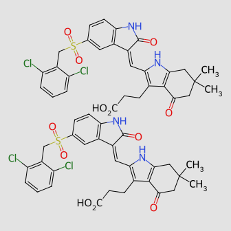 CC1(C)CC(=O)c2c([nH]c(/C=C3\C(=O)Nc4ccc(S(=O)(=O)Cc5c(Cl)cccc5Cl)cc43)c2CCC(=O)O)C1.CC1(C)CC(=O)c2c([nH]c(C=C3C(=O)Nc4ccc(S(=O)(=O)Cc5c(Cl)cccc5Cl)cc43)c2CCC(=O)O)C1